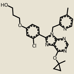 Cc1ccnc(Cn2c(-c3ccc(OCCCO)cc3Cl)nc3c(OC4(C)CC4)ncnc32)c1